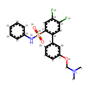 CN(C)COc1cccc(-c2cc(F)c(F)cc2S(=O)(=O)Nc2ccccc2)c1